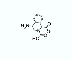 COC(=O)C1c2ccccc2C(N)CN1C(=O)O